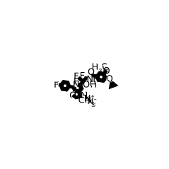 COc1cc(C(=O)NCC(O)(c2cc3c(c(-c4ccc(F)cc4)n2)OC[C@]3(C)N=[N+]=[N-])C(F)(F)F)ccc1OC1CC1